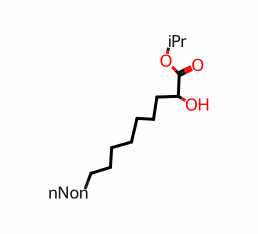 CCCCCCCCCCCCCCCCC(O)C(=O)OC(C)C